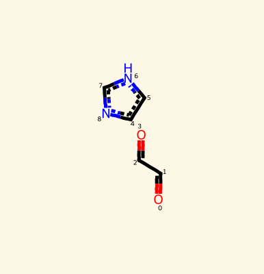 O=CC=O.c1c[nH]cn1